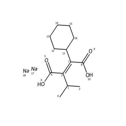 CC(C)C(C(=O)O)=C(C(=O)O)C1CCCCC1.[Na].[Na]